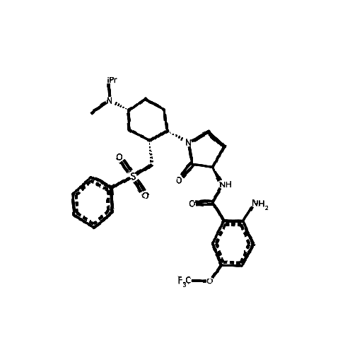 CC(C)N(C)[C@@H]1CC[C@H](N2CC[C@@H](NC(=O)c3cc(OC(F)(F)F)ccc3N)C2=O)[C@H](CS(=O)(=O)c2ccccc2)C1